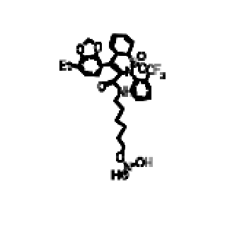 CCc1ccc(C2=C(C(=O)NCCCCCCON(O)O)N(c3ccccc3C(F)(F)F)S(=O)(=O)C3C=CC=CC23)c2c1OCO2